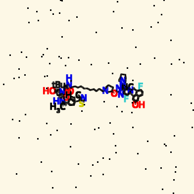 C#Cc1c(F)ccc2cc(O)cc(-c3ncc4c(N5CC6CCC(C5)N6)nc(OC5CCCN(CCCCCCCCCCC(=O)N[C@H](C(=O)N6C[C@H](O)C[C@H]6C(=O)N[C@@H](C)c6ccc(-c7scnc7C)cc6)C(C)(C)C)C5)nc4c3F)c12